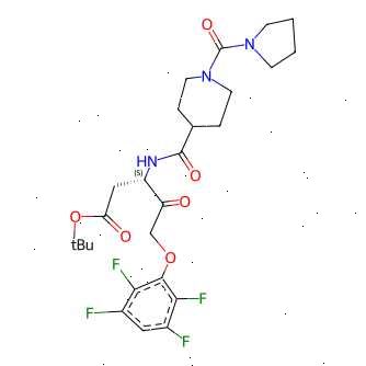 CC(C)(C)OC(=O)C[C@H](NC(=O)C1CCN(C(=O)N2CCCC2)CC1)C(=O)COc1c(F)c(F)cc(F)c1F